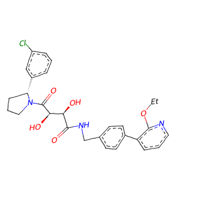 CCOc1ncccc1-c1ccc(CNC(=O)[C@H](O)[C@@H](O)C(=O)N2CCC[C@@H]2c2cccc(Cl)c2)cc1